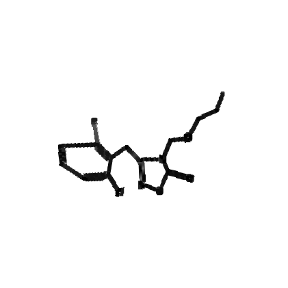 CCCOCn1c(Cc2c(F)cccc2Cl)noc1=O